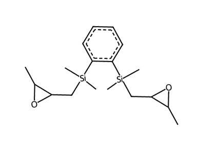 CC1OC1C[Si](C)(C)c1ccccc1[Si](C)(C)CC1OC1C